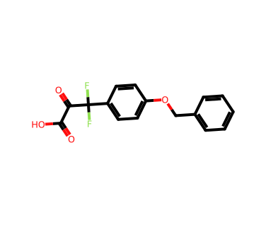 O=C(O)C(=O)C(F)(F)c1ccc(OCc2ccccc2)cc1